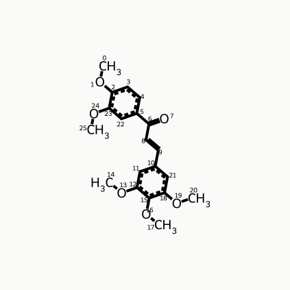 COc1ccc(C(=O)C=Cc2cc(OC)c(OC)c(OC)c2)cc1OC